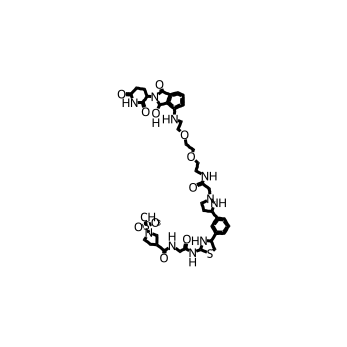 CS(=O)(=O)N1CCC(C(=O)NCC(=O)NC2NC(c3cccc(C4CCN(CC(=O)NCCOCCOCCNc5cccc6c5C(O)N(C5CCC(=O)NC5=O)C6=O)N4)c3)CS2)C1